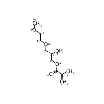 C=C(C)C(=O)OCC(O)COCCOC